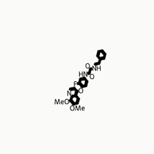 COc1ccc2c(Oc3ccc(NC(=O)C(=O)NCCc4ccccc4)cc3F)ccnc2c1OC